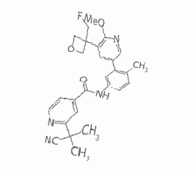 COc1ncc(-c2cc(NC(=O)c3ccnc(C(C)(C)C#N)c3)ccc2C)cc1C1(CF)COC1